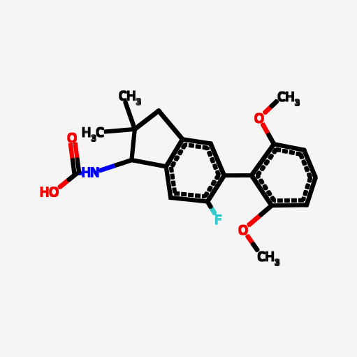 COc1cccc(OC)c1-c1cc2c(cc1F)C(NC(=O)O)C(C)(C)C2